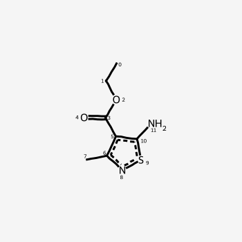 CCOC(=O)c1c(C)nsc1N